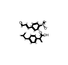 CC(C)Cc1ccc(C(C)C(=O)O)cc1.O=C/C=C/c1ccc([N+](=O)[O-])cc1